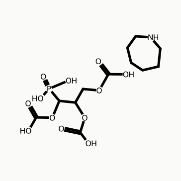 C1CCCNCC1.O=C(O)OCC(OC(=O)O)C(OC(=O)O)P(=O)(O)O